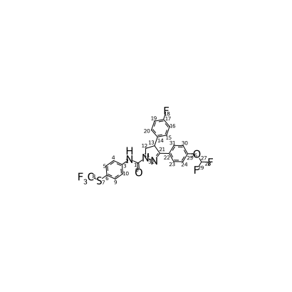 O=C(Nc1ccc(SC(F)(F)F)cc1)N1CC(c2ccc(F)cc2)C(c2ccc(OC(F)F)cc2)=N1